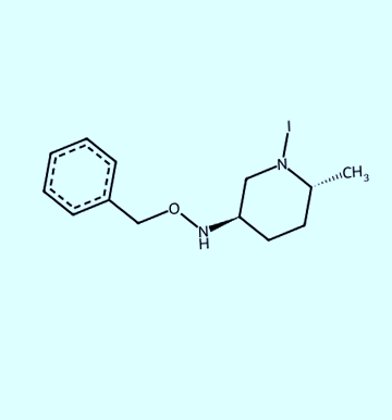 C[C@@H]1CC[C@@H](NOCc2ccccc2)CN1I